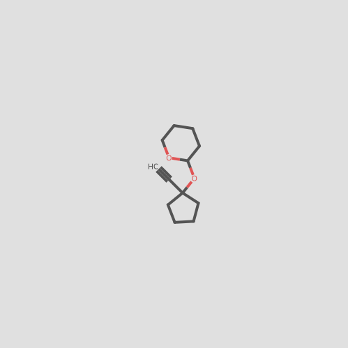 C#CC1(OC2CCCCO2)CCCC1